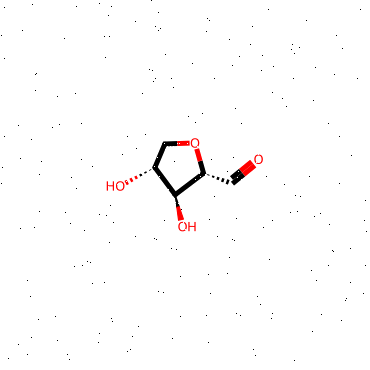 O=C[C@H]1OC[C@@H](O)[C@@H]1O